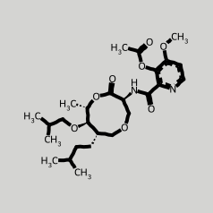 COc1ccnc(C(=O)N[C@H]2COC[C@H](CCC(C)C)[C@@H](OCC(C)C)[C@H](C)OC2=O)c1OC(C)=O